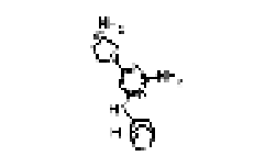 Nc1nc(NC2CC3CC[C@@H]2C3)cc(N2CC[C@H](N)C2)n1